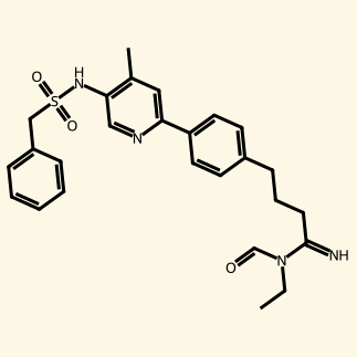 CCN(C=O)C(=N)CCCc1ccc(-c2cc(C)c(NS(=O)(=O)Cc3ccccc3)cn2)cc1